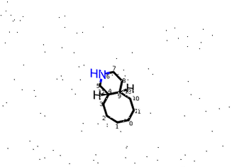 C1CCC[C@@H]2CNCC[C@@H]2CC1